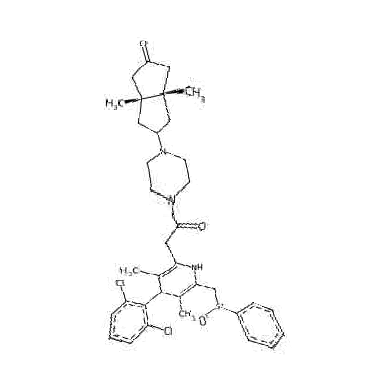 CC1=C(CC(=O)N2CCN(C3C[C@]4(C)CC(=O)C[C@]4(C)C3)CC2)NC(C[S+]([O-])c2ccccc2)=C(C)C1c1c(Cl)cccc1Cl